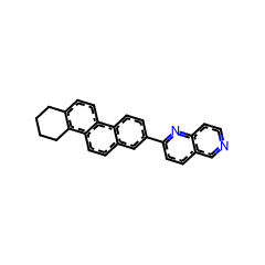 c1cc2nc(-c3ccc4c(ccc5c6c(ccc54)CCCC6)c3)ccc2cn1